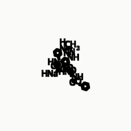 Cc1cnc(Nc2cccc(S(=O)(=O)NC(=O)CNC(=O)OCc3ccccc3)c2)nc1Nc1cccc(CNS(=O)(=O)C2CC2)c1.[NaH]